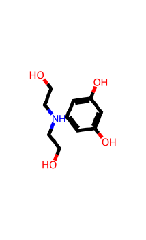 OCCNCCO.Oc1cccc(O)c1